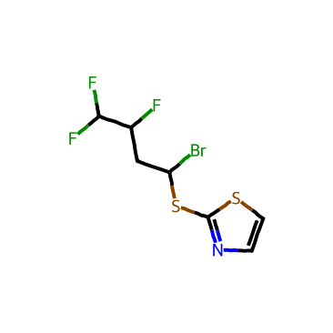 FC(F)C(F)CC(Br)Sc1nccs1